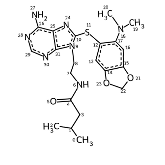 CC(C)CC(=O)NCCn1c(Sc2cc3c(cc2N(C)C)OCO3)nc2c(N)ncnc21